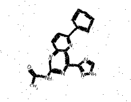 CC(=O)Nc1nc(-c2nc[nH]n2)c2nc(-c3ccccc3)ccc2n1